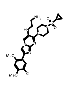 COc1cc(OC)c(-c2cn3cc(NCCN)c(N4CCN(S(=O)(=O)C5CC5)CC4)nc3n2)cc1Cl